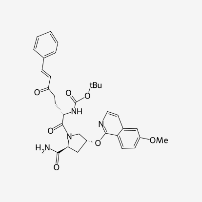 COc1ccc2c(O[C@@H]3C[C@@H](C(N)=O)N(C(=O)[C@H](CCC(=O)/C=C/c4ccccc4)NC(=O)OC(C)(C)C)C3)nccc2c1